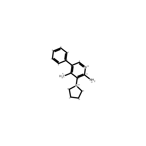 Cc1c(-c2ccccc2)[c]nc(N)c1N1CCCC1